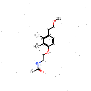 CCOCCc1ccc(OCCNC(=O)C(C)C)c(C)c1C